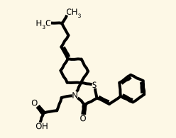 CC(C)CC=C1CCC2(CC1)S/C(=C\c1ccccc1)C(=O)N2CCC(=O)O